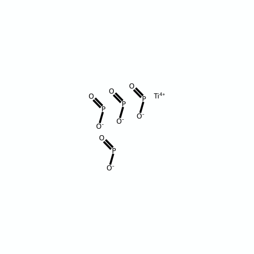 O=P[O-].O=P[O-].O=P[O-].O=P[O-].[Ti+4]